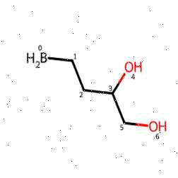 BCCC(O)CO